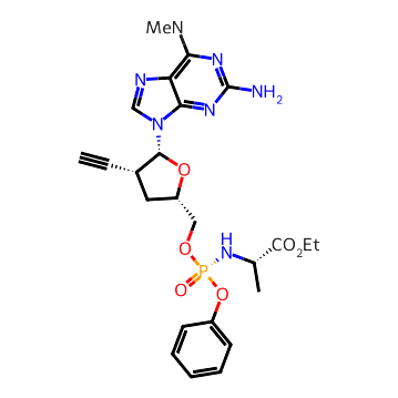 C#C[C@H]1C[C@@H](CO[P@@](=O)(N[C@@H](C)C(=O)OCC)Oc2ccccc2)O[C@H]1n1cnc2c(NC)nc(N)nc21